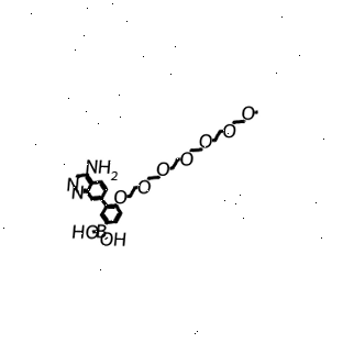 COCCOCCOCCOCCOCCOCCOc1ccc(B(O)O)cc1-c1ccc2c(N)cnnc2c1